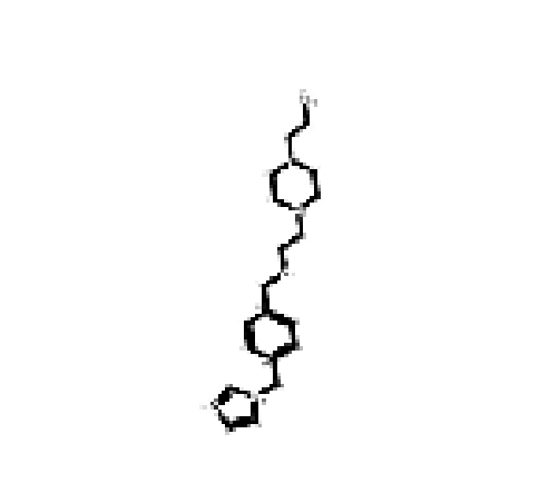 NCCN1CCN(CCSCc2ccc(Cn3ccnc3)cc2)CC1